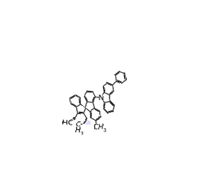 C#CC1=C(/C=C\C)C2(c3ccccc31)c1cc(C)ccc1-c1c(-n3c4ccccc4c4cc(-c5ccccc5)ccc43)cccc12